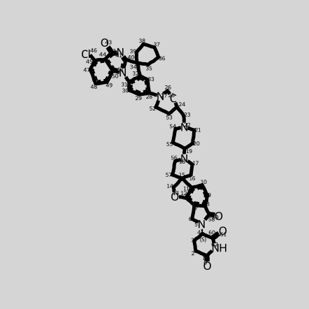 O=C1CC[C@H](N2Cc3c(ccc4c3OCC43CCN(C4CCN(CC5CCN(c6ccc7c(c6)C6(CCCCC6)c6nc(=O)c8c(Cl)cccc8n6-7)CC5)CC4)CC3)C2=O)C(=O)N1